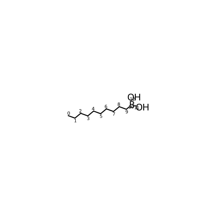 CCCCCCCCCCB(O)O